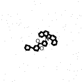 O=c1c2cc(-c3ccccc3)ccc2oc2ccc(-n3c4c5ccccc5ccc4c4ccc5ccccc5c43)cc12